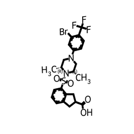 C[C@@H]1CN(c2ccc(C(F)(F)F)c(Br)c2)C[C@H](C)N1S(=O)(=O)c1cccc2c1CC(C(=O)O)C2